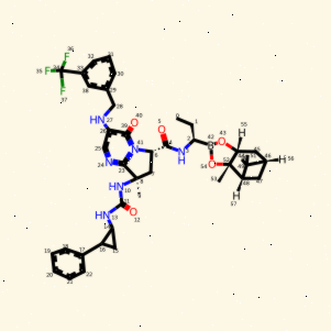 CC[C@H](NC(=O)[C@@H]1C[C@@](C)(NC(=O)NC2CC2c2ccccc2)c2ncc(NCc3cccc(C(F)(F)F)c3)c(=O)n21)B1O[C@@H]2C[C@@H]3C[C@@H](C3(C)C)[C@]2(C)O1